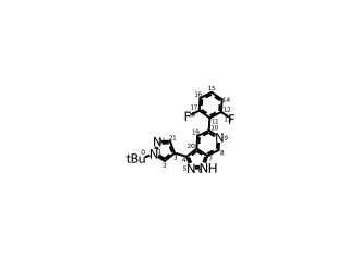 CC(C)(C)n1cc(-c2n[nH]c3cnc(-c4c(F)cccc4F)cc23)cn1